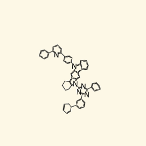 C1=CCC(c2cccc(-c3nc(-c4ccccc4)nc(-n4c5c(c6cc7c(cc64)c4ccccc4n7-c4ccc(-c6cccc(-c7ccccc7)n6)cc4)CCCC5)n3)c2)C=C1